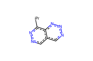 CC(C)c1nncc2cnnnc12